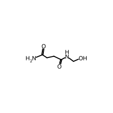 NC(=O)CCC(=O)NCO